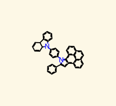 C1=CC2c3ccccc3N(c3ccc(-n4c(-c5ccccc5)cc5c6cccc7ccc8cccc(c8c76)c54)cc3)C2C=C1